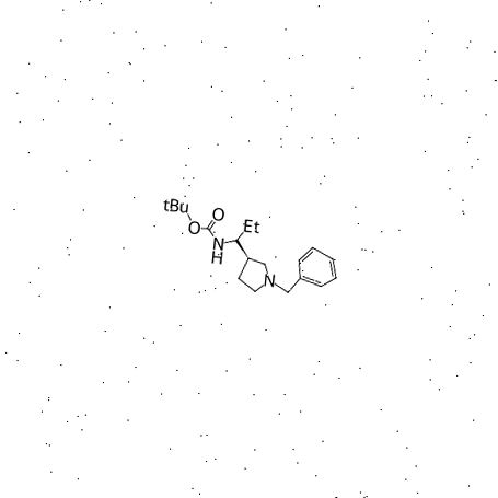 CCC(NC(=O)OC(C)(C)C)[C@@H]1CCN(Cc2ccccc2)C1